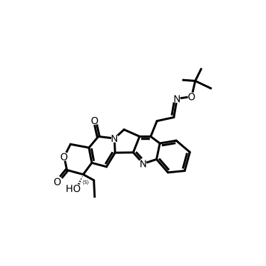 CC[C@@]1(O)C(=O)OCc2c1cc1n(c2=O)Cc2c-1nc1ccccc1c2CC=NOC(C)(C)C